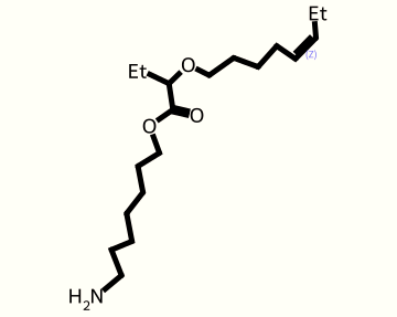 CC/C=C\CCCCOC(CC)C(=O)OCCCCCCCN